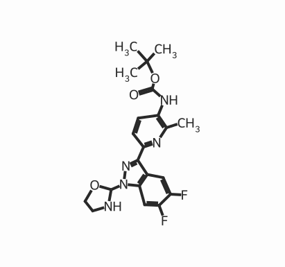 Cc1nc(-c2nn(C3NCCO3)c3cc(F)c(F)cc23)ccc1NC(=O)OC(C)(C)C